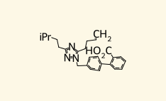 C=CCCc1nc(CCC(C)C)nn1Cc1ccc(-c2ccccc2C(=O)O)cc1